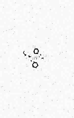 CCc1nnc(NS(=O)(=O)c2ccc(N)cc2)s1.N=C(N)NS(=O)(=O)c1ccc(N)cc1